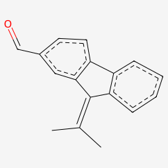 CC(C)=C1c2ccccc2-c2ccc(C=O)cc21